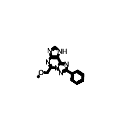 COCc1nc2nc[nH]c2c2nc(-c3ccccc3)nn12